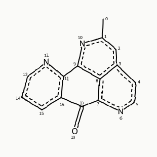 Cc1cc2ccnc3c2c(n1)-c1ncccc1C3=O